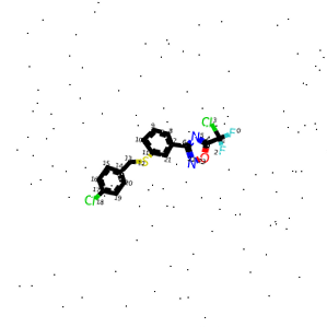 FC(F)(Cl)c1nc(-c2cc[c]c(SCc3ccc(Cl)cc3)c2)no1